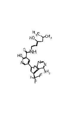 CC(C)CC(O)CCNC(=O)c1cc(-c2cc(C(F)(F)F)c3c(N)ncnn23)cnc1O